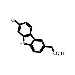 O=C(O)Cc1ccc2[nH]c3cc(Cl)ccc3c2c1